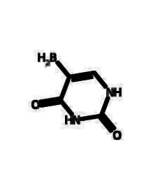 Bc1c[nH]c(=O)[nH]c1=O